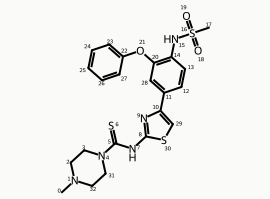 CN1CCN(C(=S)Nc2nc(-c3ccc(NS(C)(=O)=O)c(Oc4ccccc4)c3)cs2)CC1